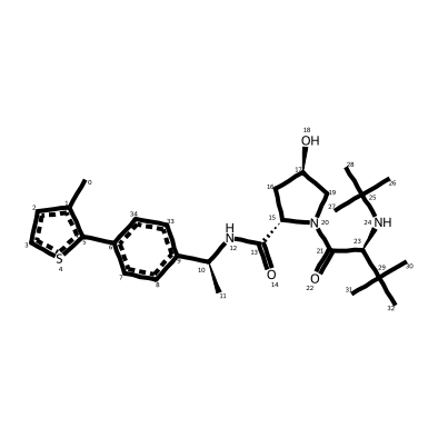 Cc1ccsc1-c1ccc([C@H](C)NC(=O)[C@@H]2C[C@@H](O)CN2C(=O)[C@@H](NC(C)(C)C)C(C)(C)C)cc1